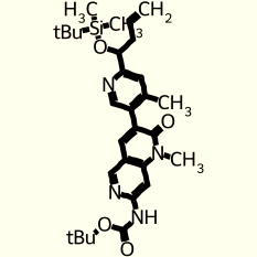 C=CCC(O[Si](C)(C)C(C)(C)C)c1cc(C)c(-c2cc3cnc(NC(=O)OC(C)(C)C)cc3n(C)c2=O)cn1